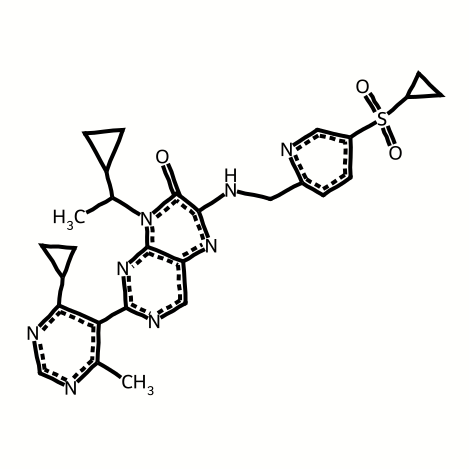 Cc1ncnc(C2CC2)c1-c1ncc2nc(NCc3ccc(S(=O)(=O)C4CC4)cn3)c(=O)n(C(C)C3CC3)c2n1